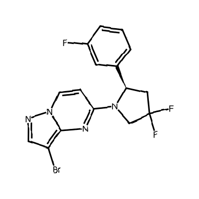 Fc1cccc([C@H]2CC(F)(F)CN2c2ccn3ncc(Br)c3n2)c1